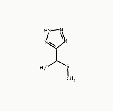 CSC(C)c1nn[nH]n1